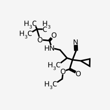 CCOC(=O)C(C#N)(C(C)CNC(=O)OC(C)(C)C)C1CC1